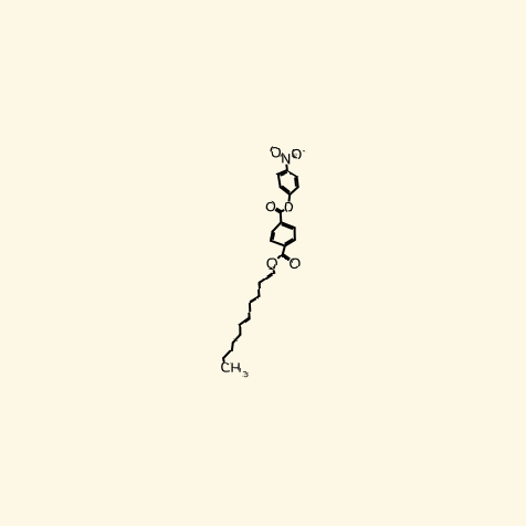 CCCCCCCCCCCOC(=O)c1ccc(C(=O)Oc2ccc([N+](=O)[O-])cc2)cc1